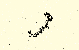 CC(C)(C)OC(=O)N1CCC(CNC(=O)c2cnc(NCCOc3cccc4c3OC(C)(C)C4)s2)C1